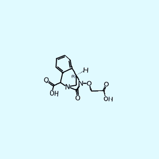 O=C(O)CON1C(=O)N2C[C@H]1c1ccccc1C2C(=O)O